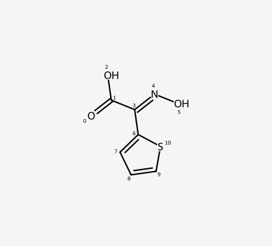 O=C(O)/C(=N/O)c1cccs1